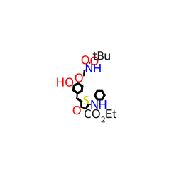 CCOC(=O)C1=C(Nc2ccccc2)S/C(=C\c2ccc(OCCNC(=O)OC(C)(C)C)c(O)c2)C1=O